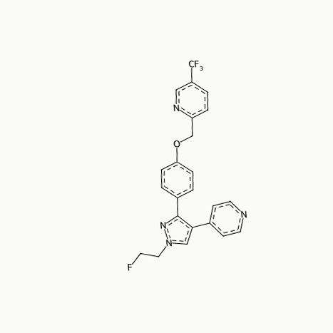 FCCn1cc(-c2ccncc2)c(-c2ccc(OCc3ccc(C(F)(F)F)cn3)cc2)n1